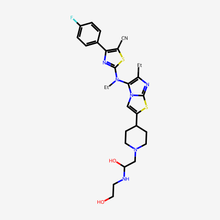 CCc1nc2sc(C3CCN(CC(O)NCCO)CC3)cn2c1N(CC)c1nc(-c2ccc(F)cc2)c(C#N)s1